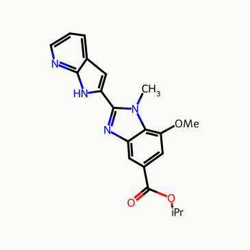 COc1cc(C(=O)OC(C)C)cc2nc(-c3cc4cccnc4[nH]3)n(C)c12